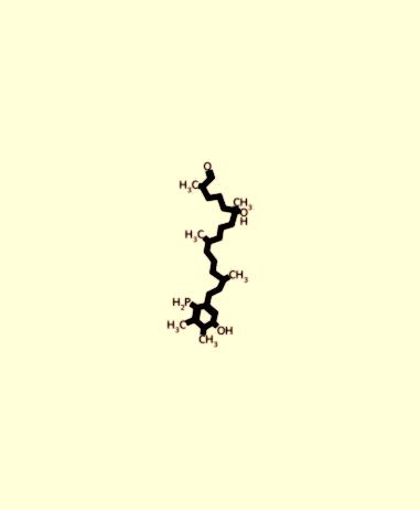 CC1=C(P)C(CCC(C)CCCC(C)CCCC(C)(O)CCCC(C)C=O)=CC(O)C1C